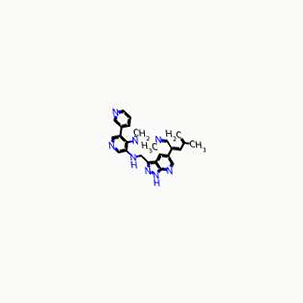 C=Nc1c(NCc2n[nH]c3ncc(C(/C=N\C)=C/C(=C)C)cc23)cncc1-c1cccnc1